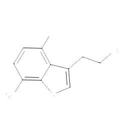 N#Cc1ccc(F)c2c(CCC=O)c[nH]c12